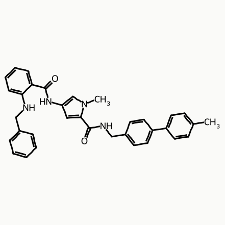 Cc1ccc(-c2ccc(CNC(=O)c3cc(NC(=O)c4ccccc4NCc4ccccc4)cn3C)cc2)cc1